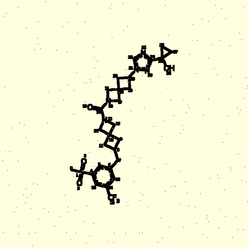 CS(=O)(=O)c1cc(CC2CC3(C2)CN(C(=O)N2CC4(CC(n5cnc(C6(O)CC6)n5)C4)C2)C3)cc(C(F)(F)F)c1